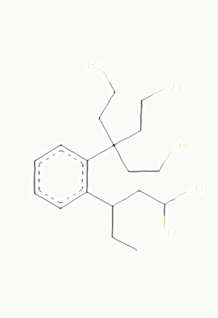 CCC(CC(S)S)c1c[c]ccc1C(CCS)(CCS)CCS